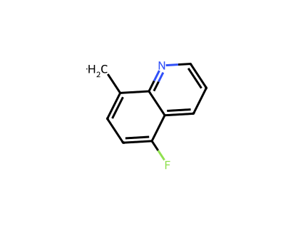 [CH2]c1ccc(F)c2cccnc12